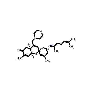 CC(C)=CCC/C(C)=C/[C@@H]1CC(C)=C[C@]2(C=C(CN3CCSCC3)[C@H]3CC(=O)C(C)=C[C@H]3O2)O1